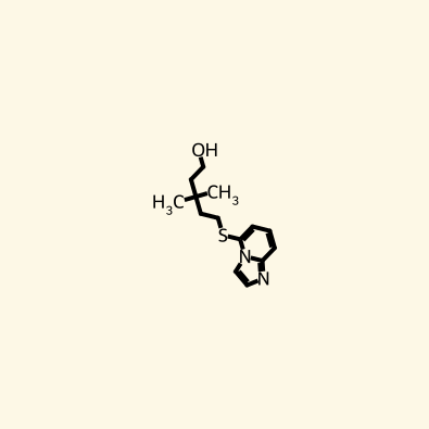 CC(C)(CCO)CCSc1cccc2nccn12